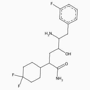 NC(=O)C(CC(O)C(N)Cc1cccc(F)c1)C1CCC(F)(F)CC1